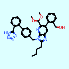 CCCCc1nc2cc(-c3ccccc3CO)c(C(OC)OC)nc2n1Cc1ccc(-c2ccccc2-c2nnn[nH]2)cc1